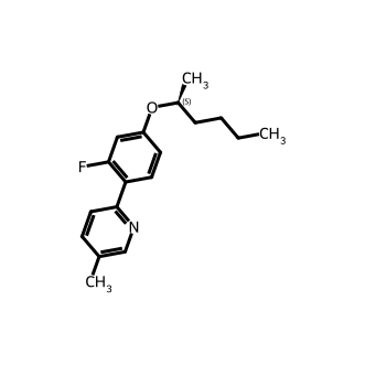 CCCC[C@H](C)Oc1ccc(-c2ccc(C)cn2)c(F)c1